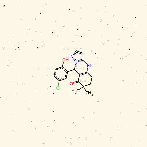 CC1(C)CCC2=C(C1=O)C(c1cc(Cl)ccc1O)n1nccc1N2